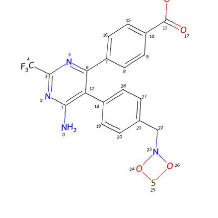 Nc1nc(C(F)(F)F)nc(-c2ccc(C(=O)OS)cc2)c1-c1ccc(CN2OSO2)cc1